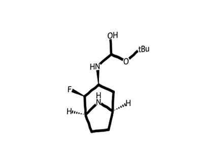 CC(C)(C)OC(O)N[C@H]1C[C@H]2CC[C@H](N2)[C@H]1F